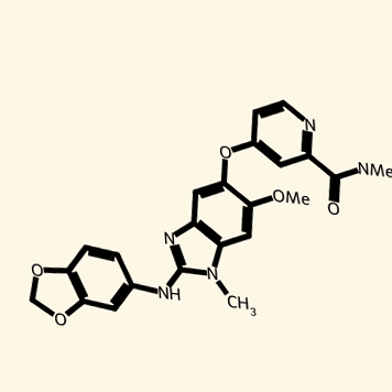 CNC(=O)c1cc(Oc2cc3nc(Nc4ccc5c(c4)OCO5)n(C)c3cc2OC)ccn1